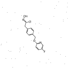 O/N=C(\Cl)Cc1ccc(COc2ccc(F)cn2)cc1